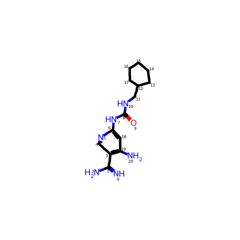 N=C(N)c1cnc(NC(=O)NCC2CCCCC2)cc1N